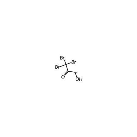 O=C([CH]O)C(Br)(Br)Br